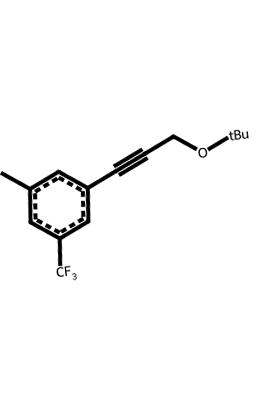 Cc1cc(C#CCOC(C)(C)C)cc(C(F)(F)F)c1